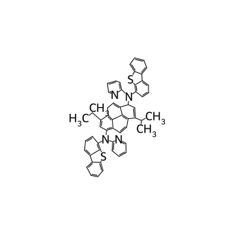 CC(C)C1=CC(N(c2ccccn2)c2cccc3c2sc2ccccc23)C2=CCc3c(C(C)C)cc(N(c4ccccn4)c4cccc5c4sc4ccccc45)c4ccc1c2c34